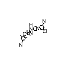 Cc1cc(C#N)cc(C)c1Oc1ccnc(NC2CCN(c3cc(Cl)cc(C#N)c3)CC2)n1